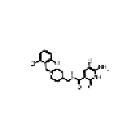 Nc1[nH]c(=O)c(C(=O)NCC2CCN(Cc3c(Cl)cccc3Cl)CC2)cc1Cl